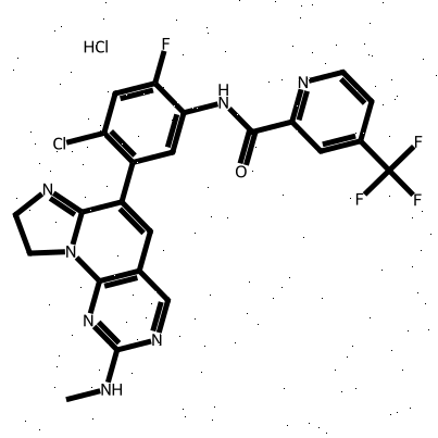 CNc1ncc2c(n1)N1CCN=C1C(c1cc(NC(=O)c3cc(C(F)(F)F)ccn3)c(F)cc1Cl)=C2.Cl